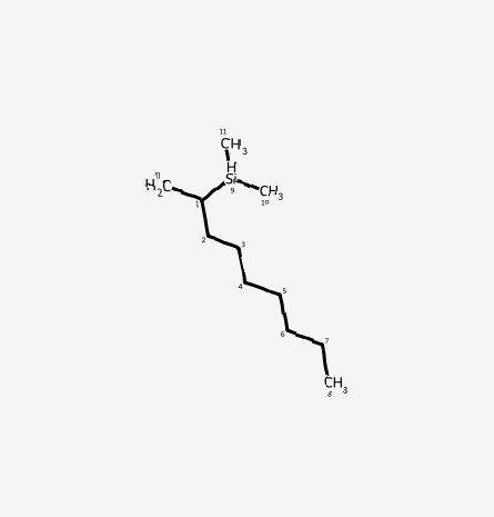 [CH2]C(CCCCCCC)[SiH](C)C